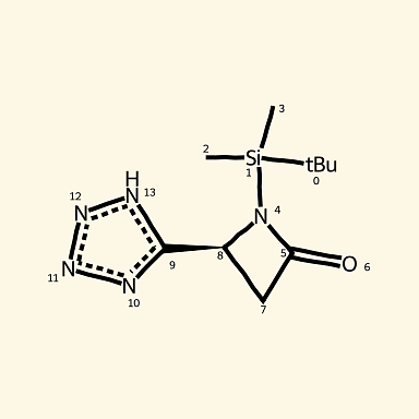 CC(C)(C)[Si](C)(C)N1C(=O)C[C@H]1c1nnn[nH]1